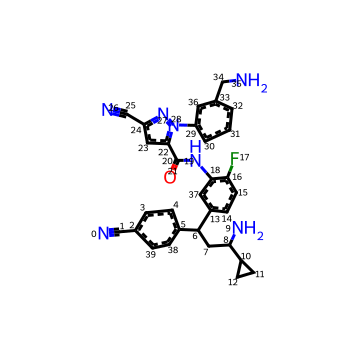 N#Cc1ccc(C(CC(N)C2CC2)c2ccc(F)c(NC(=O)c3cc(C#N)nn3-c3cccc(CN)c3)c2)cc1